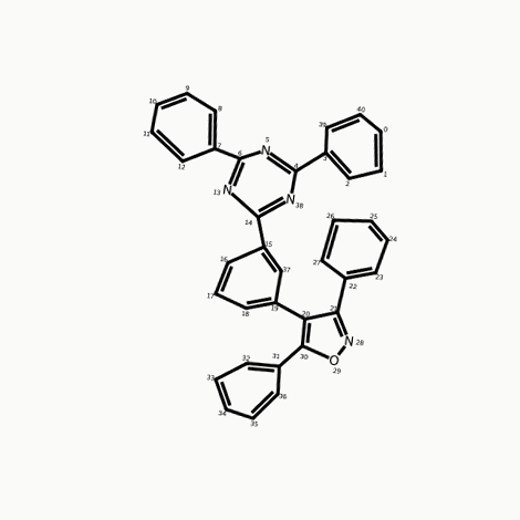 c1ccc(-c2nc(-c3ccccc3)nc(-c3cccc(-c4c(-c5ccccc5)noc4-c4ccccc4)c3)n2)cc1